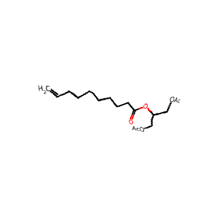 C=CCCCCCCCC(=O)OC(COC(C)=O)COC(C)=O